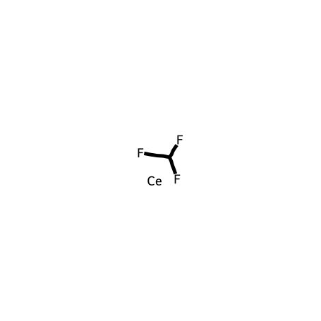 FC(F)F.[Ce]